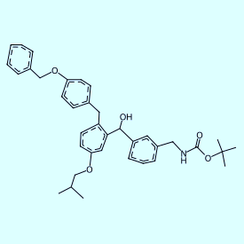 CC(C)COc1ccc(Cc2ccc(OCc3ccccc3)cc2)c(C(O)c2cccc(CNC(=O)OC(C)(C)C)c2)c1